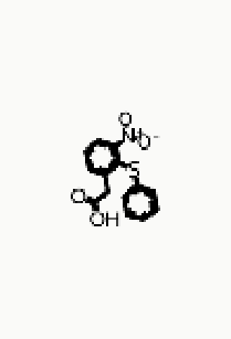 O=C(O)Cc1cccc([N+](=O)[O-])c1Sc1ccccc1